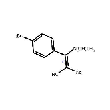 CC(=O)/C(C#N)=C(/c1ccc(C(C)(C)C)cc1)N(C)O